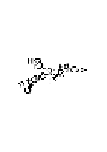 CC(C)c1ccccc1[C@@H]1CCC[C@H]1N1CC2(CCN(c3ccc(C(=O)NS(=O)(=O)c4cnc(NC[C@H]5CC[C@](C)(O)CC5)c([N+](=O)[O-])c4)c(Oc4cnc5[nH]ccc5c4)c3)CC2)C1